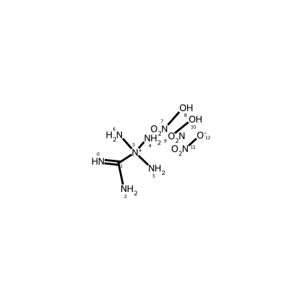 N=C(N)[N+](N)(N)N.O=[N+]([O-])O.O=[N+]([O-])O.O=[N+]([O-])[O-]